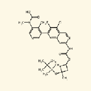 Cc1c(-c2cc3cc(NC(=O)OC4CC(C)(O[Si](C)(C)C(C)(C)C)C4)ncc3c(Cl)c2F)cncc1N(C)C(=O)O